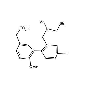 COc1ccc(CC(=O)O)cc1-c1ccc(C)cc1CN(CC(C)(C)C)C(C)=O